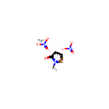 Cn1sccc1=O.O=[N+]([O-])[O-].O=[N+]([O-])[O-].[Mg+2]